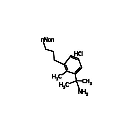 CCCCCCCCCCCCc1cccc(C(C)(C)N)c1C.Cl